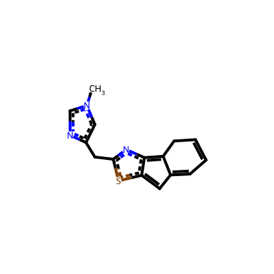 Cn1cnc(Cc2nc3c(s2)=CC2=CC=CCC=32)c1